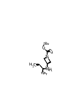 C=CC(CCC)NC1CN(C(=O)OC(C)(C)C)C1